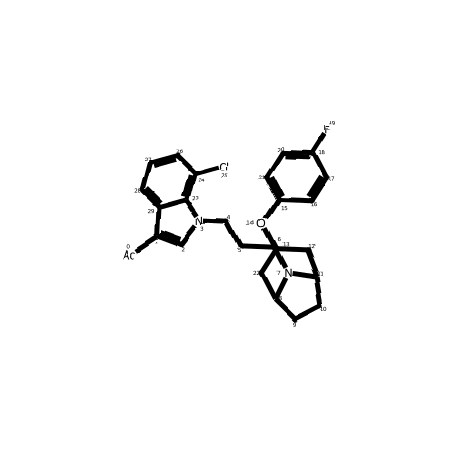 CC(=O)c1cn(CCCN2C3CCC2CC(Oc2ccc(F)cc2)C3)c2c(Cl)cccc12